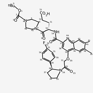 CCCCOC(=O)N1CCN(C(=O)[C@H](CCC(=O)O)NC(=O)c2cc(OCC(=O)N3CCC[C@H]3c3ccc(F)cc3)c3cc(C)c(C)cc3n2)CC1